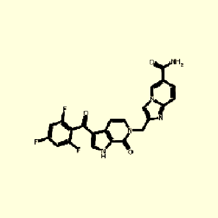 NC(=O)c1ccc2nc(Cn3ccc4c(C(=O)c5c(F)cc(F)cc5F)c[nH]c4c3=O)cn2c1